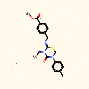 Cc1ccc(N2CSC(=NCc3ccc(C(=O)OC(C)(C)C)cc3)N(CC(F)(F)F)C2=O)cc1